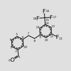 O=Cc1cccc(CCc2cc(F)cc(C(F)(F)F)c2)c1